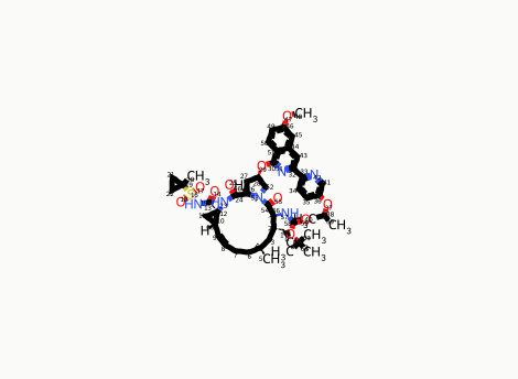 CC[C@@H]1C[C@H](C)CC/C=C\[C@@H]2C[C@@]2(C(=O)NS(=O)(=O)C2(C)CC2)NC(=O)[C@@H]2C[C@@H](Oc3nc(-c4ccc(OC(C)C)cn4)cc4cc(OC)ccc34)CN2C(=O)[C@H]1NC(=O)OC(C)(C)C